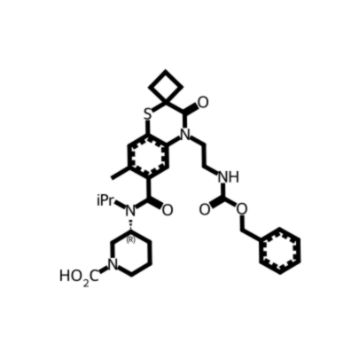 Cc1cc2c(cc1C(=O)N(C(C)C)[C@@H]1CCCN(C(=O)O)C1)N(CCNC(=O)OCc1ccccc1)C(=O)C1(CCC1)S2